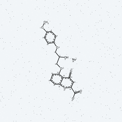 COc1ccc(OCC(O)COc2cccc3oc(C(=O)[O-])cc(=O)c23)cc1.[Na+]